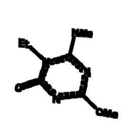 CCn1c(NC)nc(OC)nc1=O